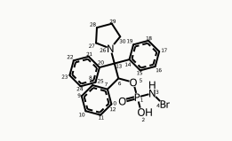 O=P(O)(NBr)OC(c1ccccc1)C(c1ccccc1)(c1ccccc1)N1CCCC1